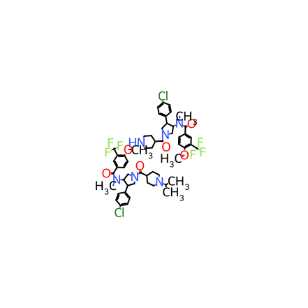 COc1ccc(C(=O)N(C)C2CN(C(=O)C3CCN(C(C)C)CC3)CC2c2ccc(Cl)cc2)cc1C(F)(F)F.COc1ccc(C(=O)N(C)C2CN(C(=O)C3CCNCC3)CC2c2ccc(Cl)cc2)cc1C(F)(F)F